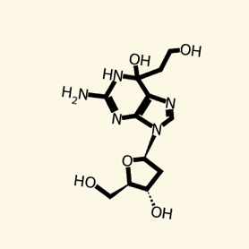 NC1=Nc2c(ncn2[C@H]2C[C@H](O)[C@@H](CO)O2)C(O)(CCO)N1